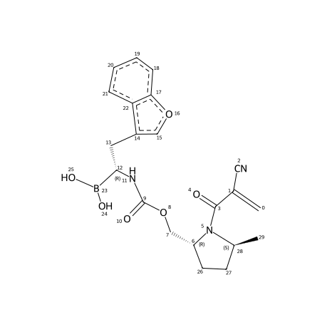 C=C(C#N)C(=O)N1[C@@H](COC(=O)N[C@@H](Cc2coc3ccccc23)B(O)O)CC[C@@H]1C